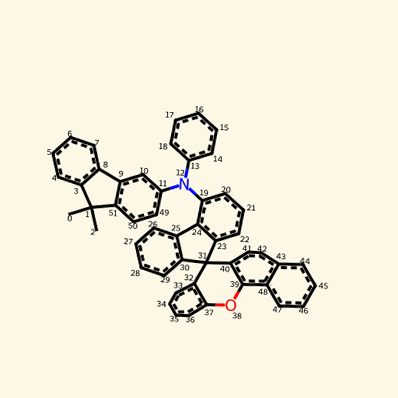 CC1(C)c2ccccc2-c2cc(N(c3ccccc3)c3cccc4c3-c3ccccc3C43c4ccccc4Oc4c3ccc3ccccc43)ccc21